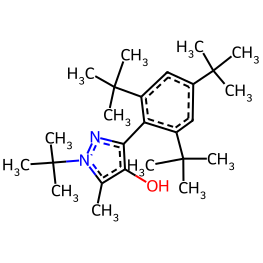 Cc1c(O)c(-c2c(C(C)(C)C)cc(C(C)(C)C)cc2C(C)(C)C)nn1C(C)(C)C